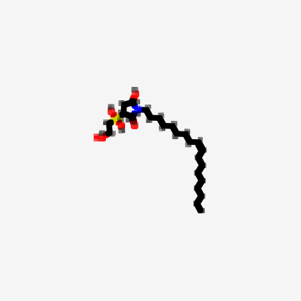 CCCCCCCC/C=C\CCCCCCCCN1C(=O)CC(S(=O)(=O)CCO)C1=O